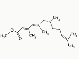 COC(=O)/C=C(C)/C=C(\C)CC(C)CCC=C(C)C